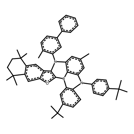 Cc1cc2c3c(c1)N(c1cc(-c4ccccc4)ccc1C)c1c(oc4cc5c(cc14)C(C)(C)CCC5(C)C)B3c1cc(C(C)(C)C)ccc1N2c1ccc(C(C)(C)C)cc1